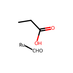 CCC(=O)O.O=[CH][Ru]